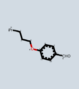 CC(C)CCCOc1ccc(C=O)cc1